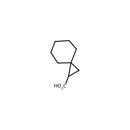 O=C(O)C1CC12CCCCC2